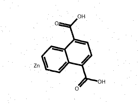 O=C(O)c1ccc(C(=O)O)c2ccccc12.[Zn]